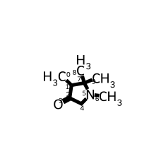 CC1C(=O)CN(C)C1(C)C